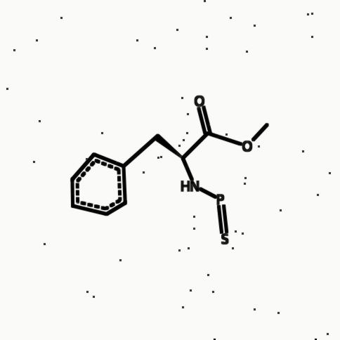 COC(=O)[C@H](Cc1ccccc1)NP=S